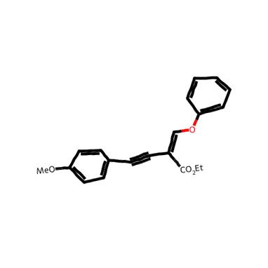 CCOC(=O)C(C#Cc1ccc(OC)cc1)=COc1ccccc1